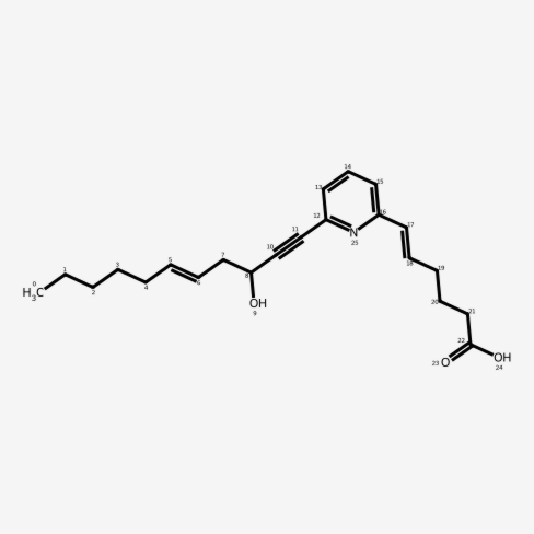 CCCCCC=CCC(O)C#Cc1cccc(C=CCCCC(=O)O)n1